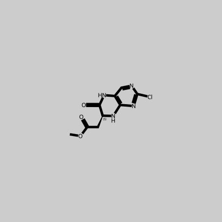 COC(=O)C[C@@H]1Nc2nc(Cl)ncc2NC1=O